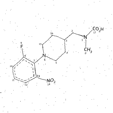 CN(CC1CCN(c2c(F)cccc2[N+](=O)[O-])CC1)C(=O)O